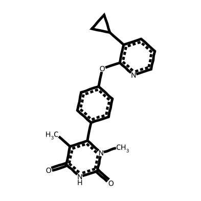 Cc1c(-c2ccc(Oc3ncccc3C3CC3)cc2)n(C)c(=O)[nH]c1=O